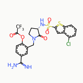 N=C(N)c1ccc(OC(=O)C(F)(F)F)c(CN2CC[C@H](NS(=O)(=O)c3cc4c(Cl)cccc4s3)C2=O)c1